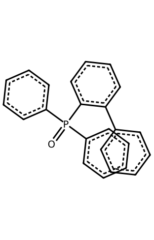 O=P(c1ccccc1)(c1ccccc1)c1ccccc1-c1ccccc1